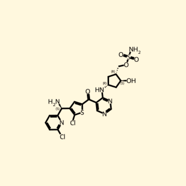 N[C@H](c1cccc(Cl)n1)c1cc(C(=O)c2cncnc2N[C@@H]2C[C@H](COS(N)(=O)=O)[C@@H](O)C2)sc1Cl